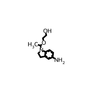 CC(OCCO)N1CCc2cc(N)ccc21